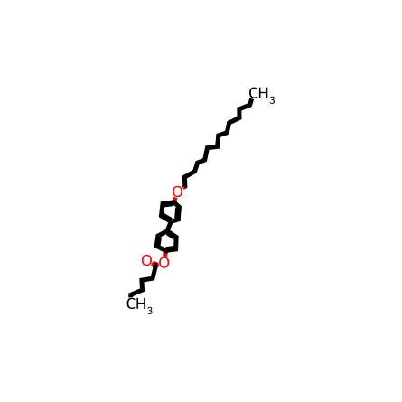 CCCCCCCCCCCCCCOc1ccc(-c2ccc(OC(=O)CCCCC)cc2)cc1